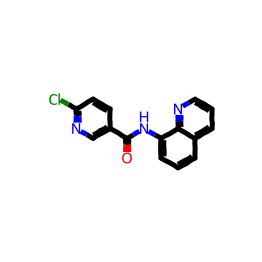 O=C(Nc1cccc2cccnc12)c1ccc(Cl)nc1